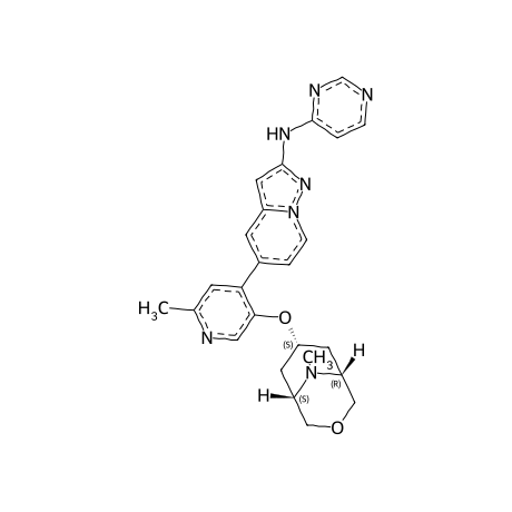 Cc1cc(-c2ccn3nc(Nc4ccncn4)cc3c2)c(O[C@H]2C[C@H]3COC[C@@H](C2)N3C)cn1